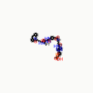 CC(C)C(NC(=O)CCCCC(=O)N1Cc2ccccc2C#Cc2ccccc21)C(=O)NCC(=O)Nc1ccc(COC(=O)N(C)CCCC(=O)Nc2ncnc3c2ncn3[C@H]2CC[C@@H](CO[PH](=O)O)O2)cc1